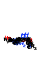 CN1CCC(Oc2ccc(NC(=O)Nc3ccc(-c4nc(C5CC(C)(O)C5)n5ccnc(N)c45)cc3F)cc2C(F)(F)F)CC1